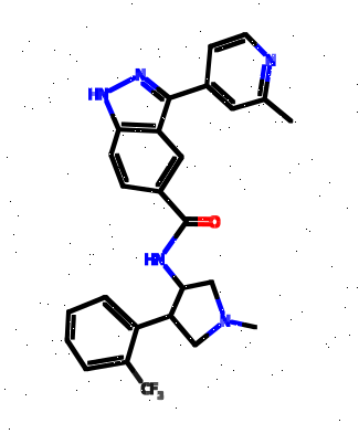 Cc1cc(-c2n[nH]c3ccc(C(=O)NC4CN(C)CC4c4ccccc4C(F)(F)F)cc23)ccn1